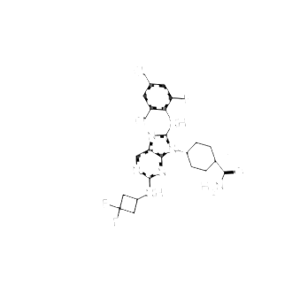 C[C@]1(C(N)=O)CC[C@@H](n2c(Nc3c(F)cc(Cl)cc3Cl)nc3cnc(NC4CC(F)(F)C4)nc32)CC1